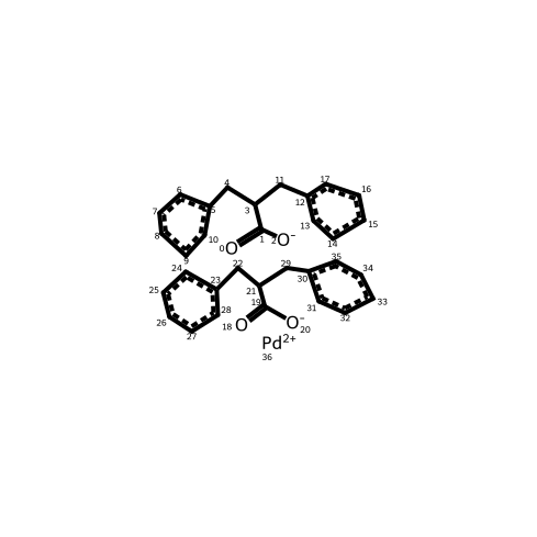 O=C([O-])C(Cc1ccccc1)Cc1ccccc1.O=C([O-])C(Cc1ccccc1)Cc1ccccc1.[Pd+2]